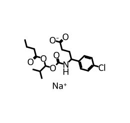 CCCC(=O)OC(OC(=O)NC(CCC(=O)[O-])c1ccc(Cl)cc1)C(C)C.[Na+]